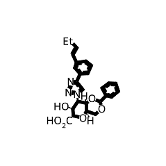 CC/C=C/c1cccc(-c2cn([C@@H]3[C@@H](O)[C@H](C(=O)O)O[C@@H]4COC(c5ccccc5)O[C@H]34)nn2)c1